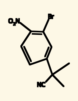 CC(C)(C#N)c1ccc([N+](=O)[O-])c(Br)c1